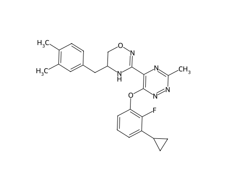 Cc1nnc(Oc2cccc(C3CC3)c2F)c(C2=NOCC(Cc3ccc(C)c(C)c3)N2)n1